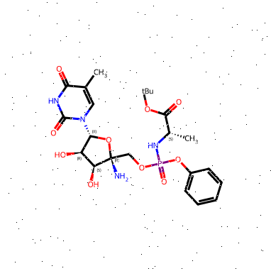 Cc1cn([C@@H]2O[C@](N)(COP(=O)(N[C@@H](C)C(=O)OC(C)(C)C)Oc3ccccc3)[C@@H](O)[C@H]2O)c(=O)[nH]c1=O